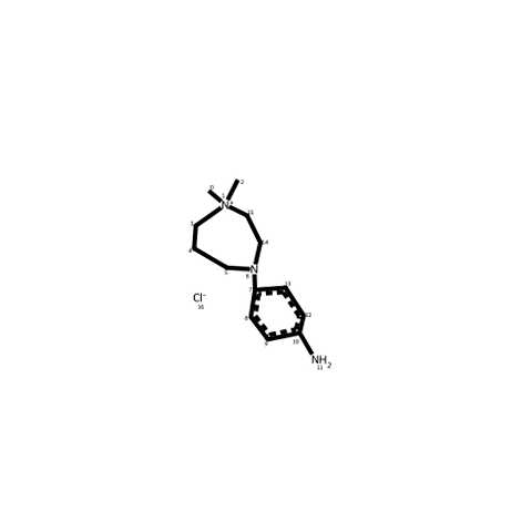 C[N+]1(C)CCCN(c2ccc(N)cc2)CC1.[Cl-]